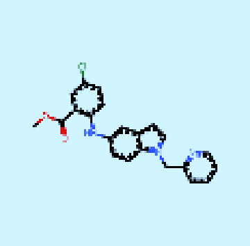 COC(=O)c1cc(Cl)ccc1Nc1ccc2c(ccn2Cc2ccccn2)c1